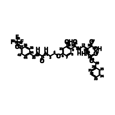 O=C(NCCOc1ccc(C(=O)NC[C@H](NC(=O)OCc2ccccc2)C(=O)O)c(O)c1)NCc1ccc(OC(F)(F)F)cc1